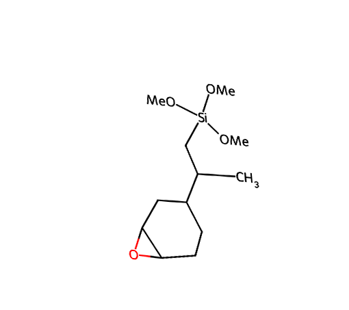 CO[Si](CC(C)C1CCC2OC2C1)(OC)OC